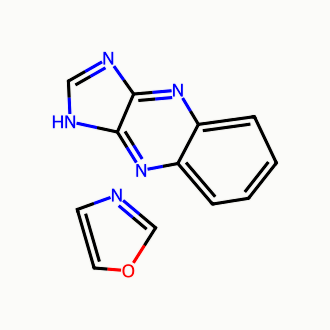 c1ccc2nc3[nH]cnc3nc2c1.c1cocn1